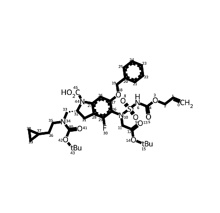 C=CCOC(=O)NS(=O)(=O)N(CC(=O)OC(C)(C)C)c1c(OCc2ccccc2)cc2c(c1F)C[C@H](CN(CCC1CC1)C(=O)OC(C)(C)C)N2C(=O)O